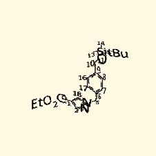 CCOC(=O)c1cnn(Cc2ccc(CO[Si](C)(C)C(C)(C)C)cc2)c1